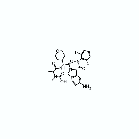 CC(C(=O)N[C@H](C(=O)N1Cc2ccc(N)cc2[C@H]1C(=O)Nc1c(F)cccc1F)C1CCOCC1)N(C)C(=O)O